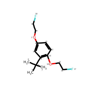 CC(C)(C)c1cc(OCCF)ccc1OCCF